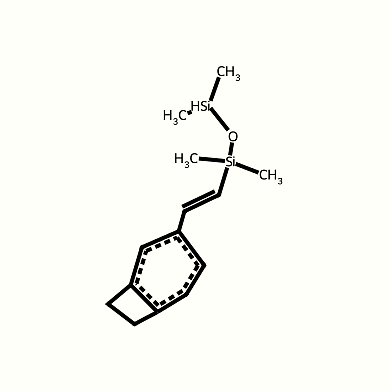 C[SiH](C)O[Si](C)(C)C=Cc1ccc2c(c1)CC2